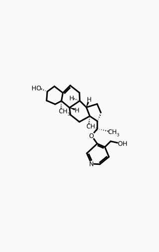 C[C@H](Oc1cnccc1CO)[C@H]1CC[C@H]2[C@@H]3CC=C4C[C@@H](O)CC[C@]4(C)[C@H]3CC[C@]12C